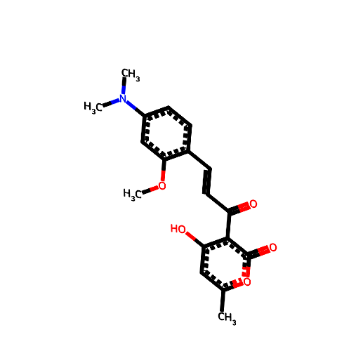 COc1cc(N(C)C)ccc1C=CC(=O)c1c(O)cc(C)oc1=O